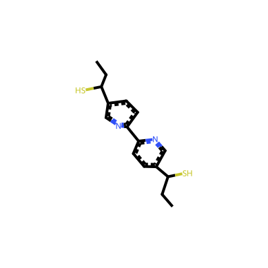 CCC(S)c1ccc(-c2ccc(C(S)CC)cn2)nc1